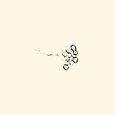 COCCOCS[C@H]1C(=O)N2[C@H]3N(S(=O)(=O)c4ccccc4)c4ccccc4[C@@]3(C3=CCc4ccccc43)C[C@]2(S)C(=O)N1C